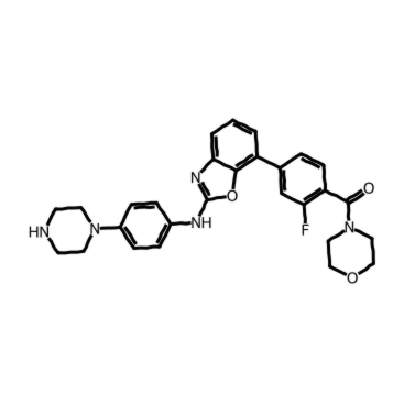 O=C(c1ccc(-c2cccc3nc(Nc4ccc(N5CCNCC5)cc4)oc23)cc1F)N1CCOCC1